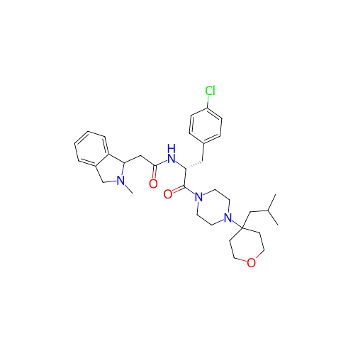 CC(C)CC1(N2CCN(C(=O)[C@@H](Cc3ccc(Cl)cc3)NC(=O)CC3c4ccccc4CN3C)CC2)CCOCC1